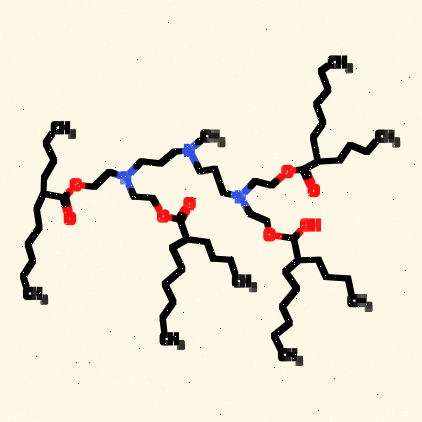 CCCCCCC(CCCC)C(=O)OCCN(CCCN(C)CCCN(CCOC(=O)C(CCCC)CCCCCC)CCOC(O)C(CCCC)CCCCCC)CCOC(=O)C(CCCC)CCCCCC